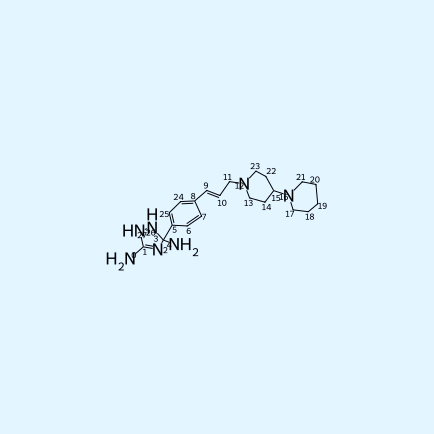 NC1=NC(N)(c2ccc(C=CCN3CCC(N4CCCCC4)CC3)cc2)NN1